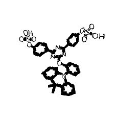 CC1(C)c2ccccc2N(c2ccccc2Oc2nc(-c3ccc(OS(=O)(=O)O)cc3)nc(-c3ccc(OS(=O)(=O)O)cc3)n2)c2ccccc21